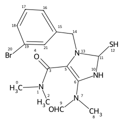 CN(C)C(=O)C1=C(N(C)C=O)NC(S)N1Cc1cccc(Br)c1